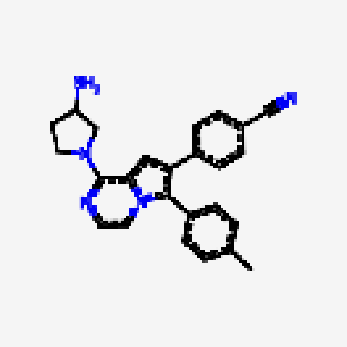 Cc1ccc(-c2c(-c3ccc(C#N)cc3)cc3c(N4CCC(N)C4)nccn23)cc1